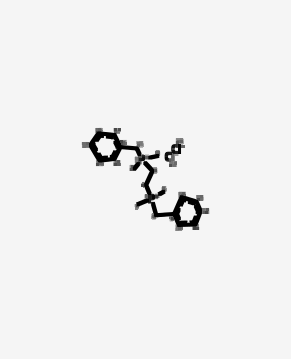 C[P+](C)(CC[P+](C)(C)Cc1ccccc1)Cc1ccccc1.[Cl-].[Cl-]